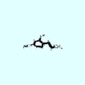 CC=Cc1ccc(OC)cc1F